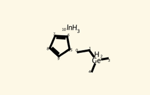 C[CH2][GeH]([CH3])[CH3].[CH]1C=CC=C1.[InH3]